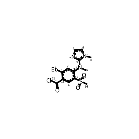 CCc1cc(N(C)c2nccn2C)c(S(C)(=O)=O)cc1C(=O)Cl